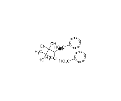 CCC(O)(C(C)C(C)C)C(C)(C)O.O=C(O)c1ccccc1.O=C(O)c1ccccc1